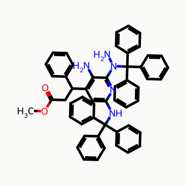 COC(=O)CC(c1ccccc1)c1cc(NC(c2ccccc2)(c2ccccc2)c2ccccc2)nc(N(N)C(c2ccccc2)(c2ccccc2)c2ccccc2)c1N